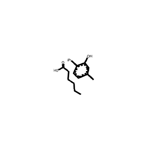 CCCCCC(=O)O.Cc1ccc(C(C)C)c(O)c1